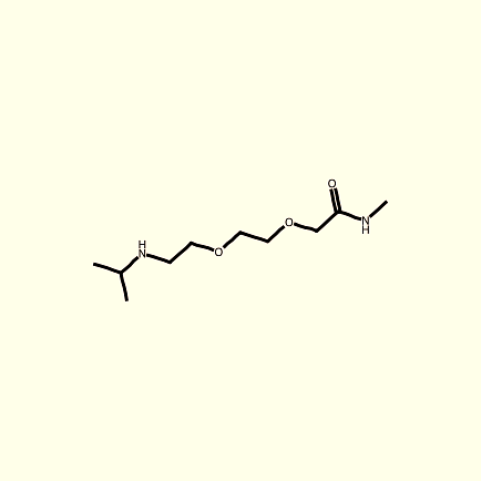 CNC(=O)COCCOCCNC(C)C